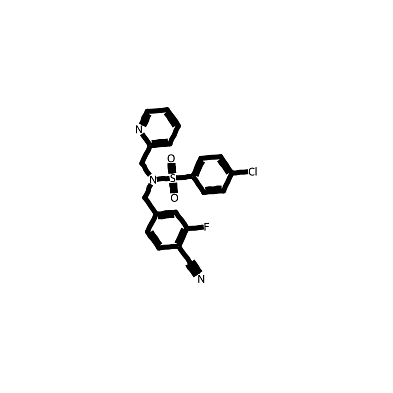 N#Cc1ccc(CN(Cc2ccccn2)S(=O)(=O)c2ccc(Cl)cc2)cc1F